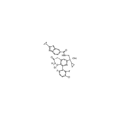 CCOc1c(CC(N)=O)cc([C@@](O)(CNC(=O)c2ccc3nn(C4CC4)cc3c2)C2CC2)nc1-c1c(F)ccc(Cl)c1F